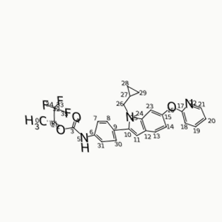 C[C@@H](OC(=O)Nc1ccc(-c2cc3ccc(Oc4ccccn4)cc3n2CC2CC2)cc1)C(F)(F)F